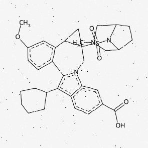 COc1ccc2c(c1)C1CC1(S(=O)(=O)N1C3CCC1CN(C)C3)Cn1c-2c(C2CCCCC2)c2ccc(C(=O)O)cc21